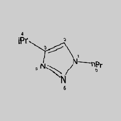 CCCn1cc(C(C)C)nn1